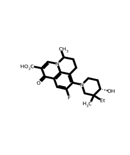 CCC1(C)CN(c2c(F)cc3c(=O)c(C(=O)O)cn4c3c2CCC4C)CC[C@@H]1O